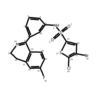 O=S(=O)(Nc1cccc(C2=NCCc3cc(F)ccc32)c1)c1cc(Br)c(Cl)s1